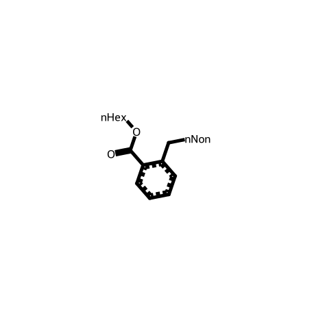 CCCCCCCCCCc1ccccc1C(=O)OCCCCCC